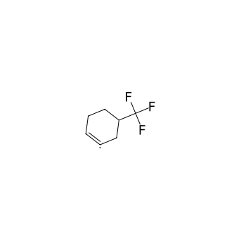 FC(F)(F)C1C[C]=CCC1